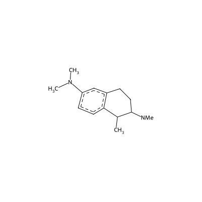 CNC1CCc2cc(N(C)C)ccc2C1C